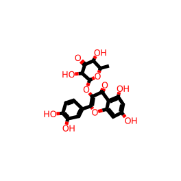 CC1OC(Oc2c(-c3ccc(O)c(O)c3)oc3cc(O)cc(O)c3c2=O)C(O)C(=O)C1O